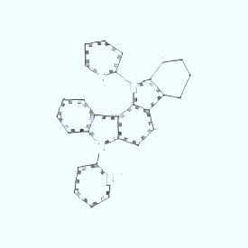 c1ccc(-n2c3c(c4ccc5c(c6ccccc6n5-c5ccccn5)c42)CCCC3)nc1